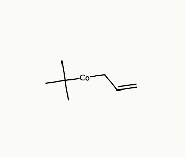 C=C[CH2][Co][C](C)(C)C